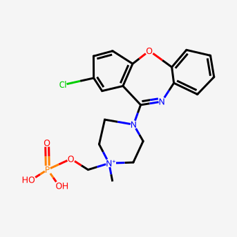 C[N+]1(COP(=O)(O)O)CCN(C2=Nc3ccccc3Oc3ccc(Cl)cc32)CC1